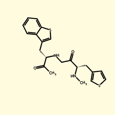 CN[C@@H](Cc1ccsc1)C(=O)CN[C@@H](Cc1csc2ccccc12)C(C)=O